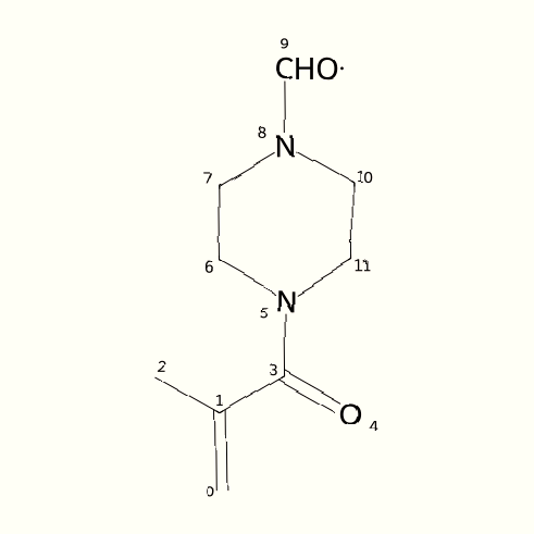 C=C(C)C(=O)N1CCN([C]=O)CC1